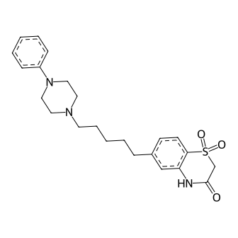 O=C1CS(=O)(=O)c2ccc(CCCCCN3CCN(c4ccccc4)CC3)cc2N1